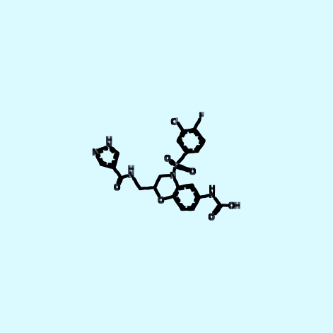 O=C(O)Nc1ccc2c(c1)N(S(=O)(=O)c1ccc(F)c(Cl)c1)CC(CNC(=O)c1cn[nH]c1)O2